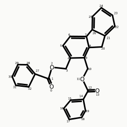 O=C(OCc1ccc2c(c1COC(=O)c1ccccc1)Cc1ccccc1-2)c1ccccc1